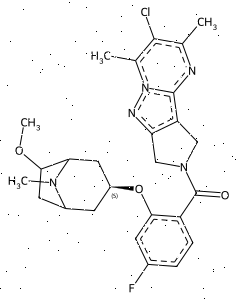 COC1CC2C[C@H](Oc3cc(F)ccc3C(=O)N3Cc4nn5c(C)c(Cl)c(C)nc5c4C3)CC1N2C